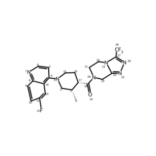 C[C@@H]1CN(c2ccnc3ccc(F)cc23)CC[C@@H]1C(=O)N1CCn2c(nnc2C(F)(F)F)C1